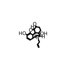 C=CCN1CC[C@@]23C4C5=C(O)C=CC4C[C@@H]1[C@]2(O)CCC(=O)[C@@H]3O5